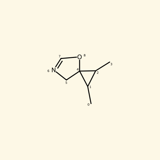 CC1C(C)C12CN=CO2